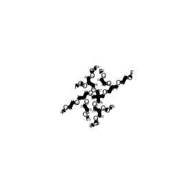 FOCCOCC(COCC(COCC(COCCOF)OCCOF)(COCC(COOF)OOF)COCC(COOF)OOF)OCCOF